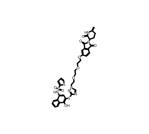 C=C1CCC(N2C(=O)c3ccc(OCCOCCOCCn4cnc(Sc5cc(NS(=O)(=O)c6cccs6)c6ccccc6c5O)n4)cc3C2=O)C(=O)N1